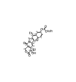 CCCOC(=O)Oc1ccc2nc3c(c(CC)c2c1)Cn1c-3cc2c(c1=O)COC(=O)C2(O)CC